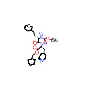 CC(C)(C)OC(=O)N[C@@H](CCc1ccccc1)C(=O)N[C@@H](Cc1ccncc1)C(=O)OCc1ccccc1